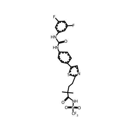 CC(C)(CCc1ncc(-c2ccc(NC(=O)Nc3cc(F)cc(F)c3)cc2)s1)C(=O)NS(=O)(=O)C(F)(F)F